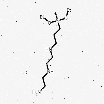 CCO[Si](C)(CCCNCCNCCN)OCC